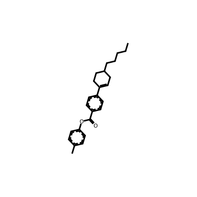 CCCCCC1CC=C(c2ccc(C(=O)Oc3ccc(C)cc3)cc2)CC1